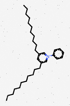 CCCCCCCCCCCc1cc(CCCCCCCCCCC)c[n+](-c2ccccc2)c1